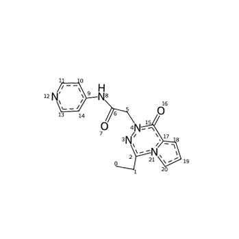 CCc1nn(CC(=O)Nc2ccncc2)c(=O)c2cccn12